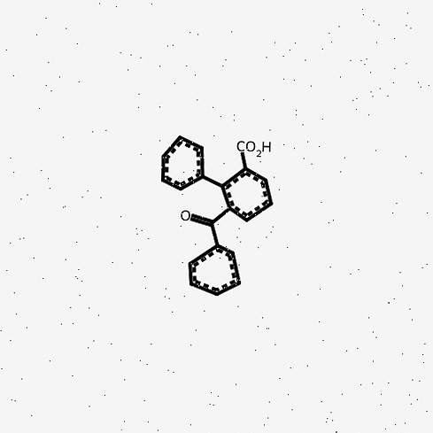 O=C(O)c1cccc(C(=O)c2ccccc2)c1-c1ccccc1